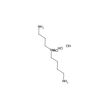 Cl.Cl.Cl.NCCCCNCCCN